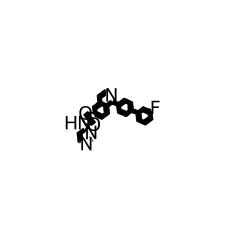 O=S(=O)(Nc1ccncn1)c1ccc2c(-c3ccc(-c4cccc(F)c4)cc3)nccc2c1